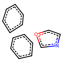 c1ccccc1.c1ccccc1.c1cocn1